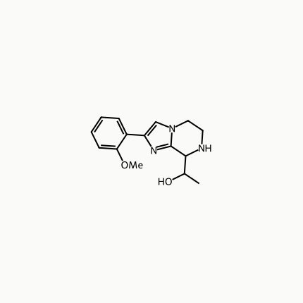 COc1ccccc1-c1cn2c(n1)C(C(C)O)NCC2